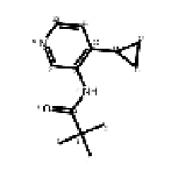 CC(C)(C)C(=O)Nc1cnccc1C1CC1